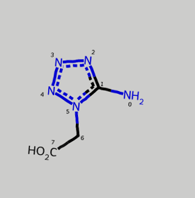 Nc1nnnn1CC(=O)O